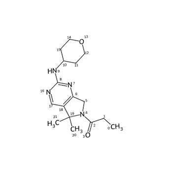 CCC(=O)N1Cc2nc(NC3CCOCC3)ncc2C1(C)C